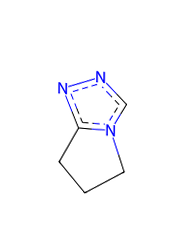 c1nnc2n1CCC2